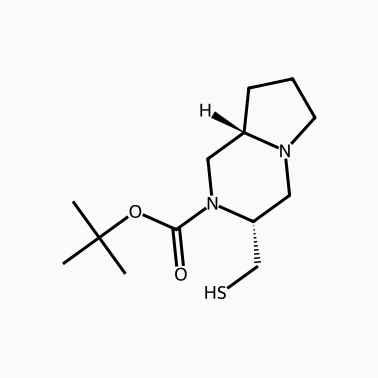 CC(C)(C)OC(=O)N1C[C@@H]2CCCN2C[C@@H]1CS